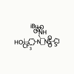 CC[C@H](C)S(=O)(=O)NC[C@H]1CN(S(=O)(=O)c2cccs2)CCN1c1ccc([C@@](C)(O)C(F)(F)F)cc1